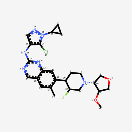 COC1COC[C@H]1N1CCC(c2cc3nc(Nc4cnn(C5CC5)c4Cl)ncc3cc2C)C(F)C1